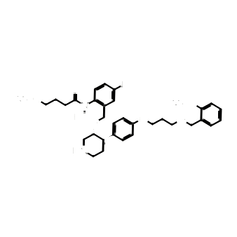 COCCCC(=O)N(C)c1ccc(F)cc1CO[C@H]1CNCC[C@@H]1c1ccc(OCCCOCc2ccccc2OC)cc1